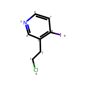 ClCCc1cnccc1I